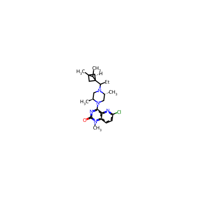 CCC(N1C[C@H](C)N(c2nc(=O)n(C)c3ccc(Cl)nc23)C[C@H]1C)C12CC(C)(C1)[C@H]2C